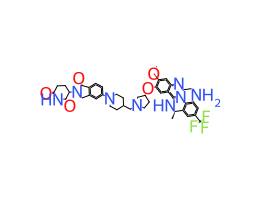 COc1cc2nc(C)nc(N[C@H](C)c3cc(N)cc(C(F)(F)F)c3)c2cc1O[C@H]1CCN(CC2CCN(c3ccc4c(c3)CN(C3CCC(=O)NC3=O)C4=O)CC2)C1